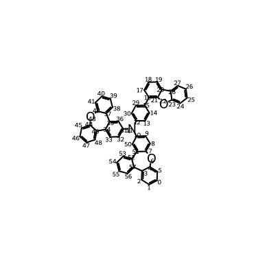 c1ccc2c(c1)Oc1ccc(N(c3ccc(-c4cccc5c4oc4ccccc45)cc3)c3ccc4c(c3)-c3ccccc3Oc3ccccc3-4)cc1-c1ccccc1-2